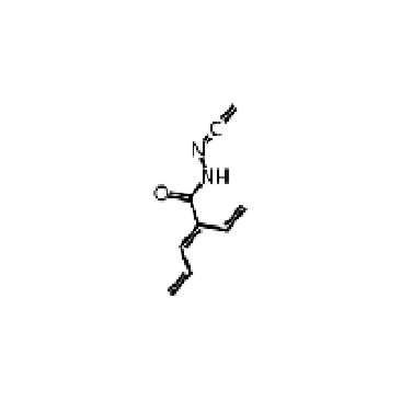 C=C=NNC(=O)/C(C=C)=C/C=C